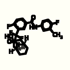 Cc1cc(NC(=O)c2ccc(F)c(C(F)(F)C(=O)N3[C@@H]4CCC[C@H]3C[C@H](O)C4)c2)ccc1F